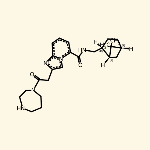 CC1(C)[C@@H]2CC[C@@H](CNC(=O)c3cccc4nc(CC(=O)N5CCCNCC5)cn34)[C@H]1C2